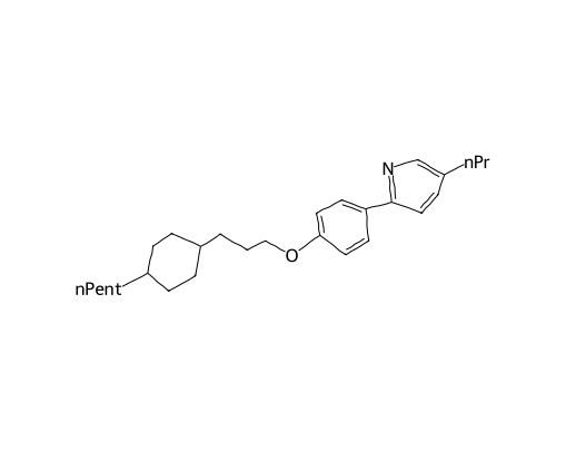 CCCCCC1CCC(CCCOc2ccc(-c3ccc(CCC)cn3)cc2)CC1